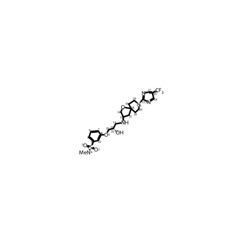 CNS(=O)(=O)c1cccc(OC[C@@H](O)CNC2COC3(CCN(c4ncc(C(F)(F)F)cn4)CC3)C2)c1